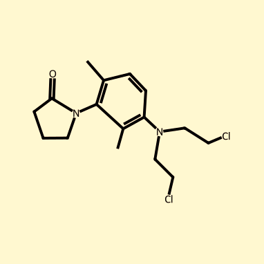 Cc1ccc(N(CCCl)CCCl)c(C)c1N1CCCC1=O